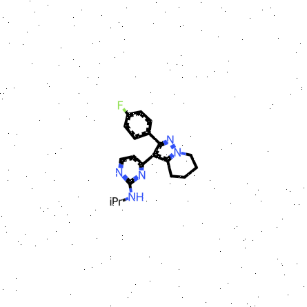 CC(C)Nc1nccc(-c2c(-c3ccc(F)cc3)nn3c2CCCC3)n1